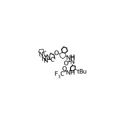 CN1CCCC1(C)c1nnc2ccc(O[C@@H]3CC[C@H](NC(=O)Nc4cc(NC(=O)C(F)(F)F)cc(C(C)(C)C)c4)c4ccccc43)cn12